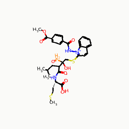 COC(=O)c1ccc(C(=O)N[n+]2c(SCC(O)([PH2]=O)C(CC(C)C)C(=O)N[C@@H](CCSC)C(=O)O)ccc3ccccc32)cc1